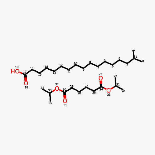 CC(C)CCCCCCCCCCCCCCC(=O)O.CC(C)OC(=O)CCCCC(=O)OC(C)C